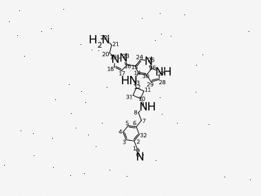 N#Cc1cccc(CCN[C@H]2C[C@@H](Nc3c(-c4ccn(CCN)n4)cnc4[nH]ccc34)C2)c1